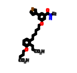 CCNC(=O)c1cc(OCCCCCCc2cccc(OCCCC(=O)O)c2CCC(=O)O)cc(-c2ccsc2)c1